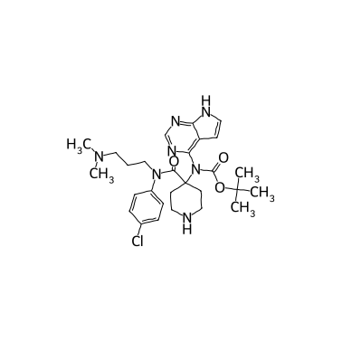 CN(C)CCCN(C(=O)C1(N(C(=O)OC(C)(C)C)c2ncnc3[nH]ccc23)CCNCC1)c1ccc(Cl)cc1